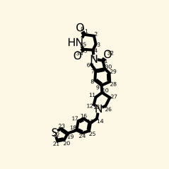 O=C1CCC(N2Cc3cc(C4CCN(Cc5ccc(-c6ccsc6)cc5)CC4)ccc3C2=O)C(=O)N1